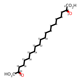 O=C(O)C(=O)CCCCCCCCCCCCCCCCCC(=O)C(=O)O